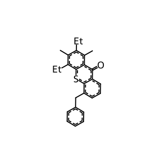 CCc1c(C)c(CC)c2sc3c(Cc4ccccc4)cccc3c(=O)c2c1C